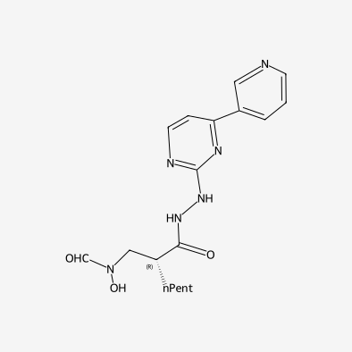 CCCCC[C@H](CN(O)C=O)C(=O)NNc1nccc(-c2cccnc2)n1